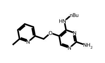 CCCCNc1nc(N)ncc1OCc1cccc(C)n1